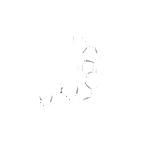 Cc1cnc2nc(-c3cc(NC(=O)c4cnco4)ccc3Cl)[nH]c2c1